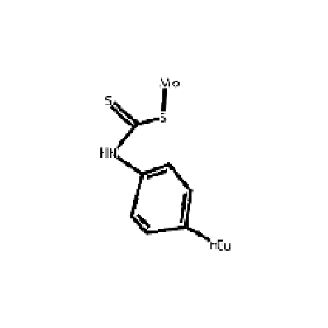 CCCCc1ccc(NC(=S)[S][Mo])cc1